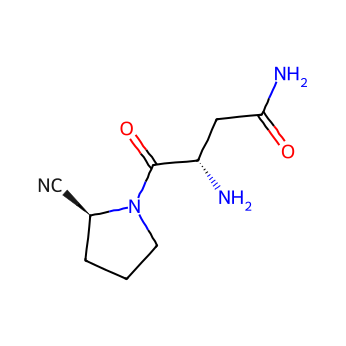 N#C[C@@H]1CCCN1C(=O)[C@@H](N)CC(N)=O